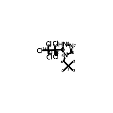 CC(C)(C)CN1C=NNC1C(Cl)(Cl)C(Cl)(Cl)Cl